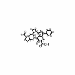 CC(=O)N1CCC2CN(c3c(C)c(C(=O)O)nc4c3c(C3CCC3)nn4-c3ccccc3)CCC21